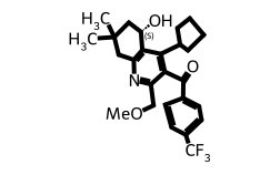 COCc1nc2c(c(C3CCCC3)c1C(=O)c1ccc(C(F)(F)F)cc1)[C@@H](O)CC(C)(C)C2